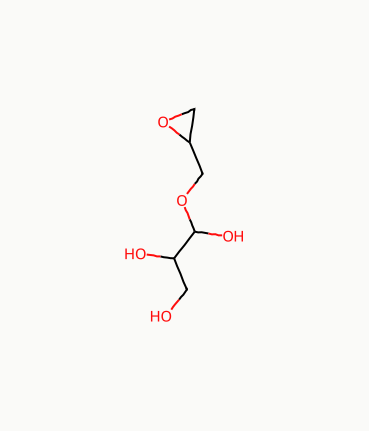 OCC(O)C(O)OCC1CO1